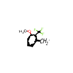 [CH2]c1cccc(OC)c1C(F)(F)F